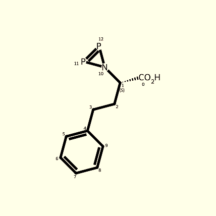 O=C(O)[C@H](CCc1ccccc1)N1P=P1